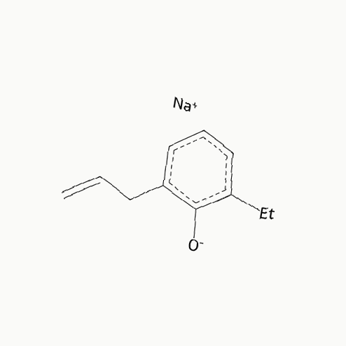 C=CCc1cccc(CC)c1[O-].[Na+]